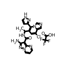 CC(NC(=O)c1c(N)nn2cccnc12)c1cc(Cl)c2cncn2c1-c1cc[nH]n1.O=C(O)C(F)(F)F